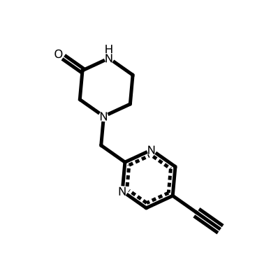 C#Cc1cnc(CN2CCNC(=O)C2)nc1